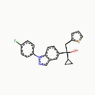 OC(Cc1cccs1)(c1ccc2c(cnn2-c2ccc(F)cc2)c1)C1CC1